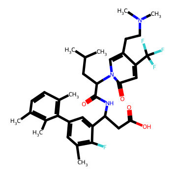 Cc1ccc(C)c(-c2cc(C)c(F)c(C(CC(=O)O)NC(=O)C(CC(C)C)n3cc(CCN(C)C)c(C(F)(F)F)cc3=O)c2)c1C